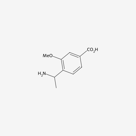 COc1cc(C(=O)O)ccc1C(C)N